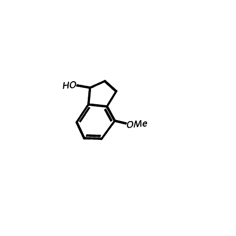 COc1cccc2c1CC[C]2O